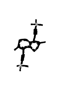 Cc1ccc2c(C#C[Si](C)(C)C)c(C)ccc2c1C#C[Si](C)(C)C